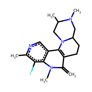 C=C1C2=C(c3cnc(C)c(F)c3N1C)N1CC(C)N(C)CC1CC2